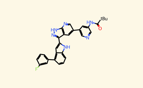 CC(C)(C)C(=O)Nc1cncc(-c2cnc3[nH]nc(-c4cc5c(-c6cccc(F)c6)cccc5[nH]4)c3c2)c1